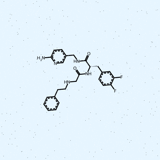 Nc1ccc(CNC(=O)[C@H](Cc2ccc(F)c(F)c2)NC(=O)CNCCc2ccccc2)cn1